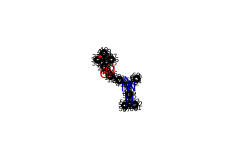 c1ccc(-c2nc(-c3ccc(-c4ccc5c(c4)Oc4c(ccc6c4-c4ccccc4C6(c4ccccc4)c4ccccc4)O5)cc3)nc(-c3ccc(-n4c5ccccc5c5ccccc54)cc3)n2)cc1